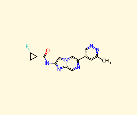 Cc1cc(-c2cn3cc(NC(=O)[C@@H]4C[C@@H]4F)nc3cn2)cnn1